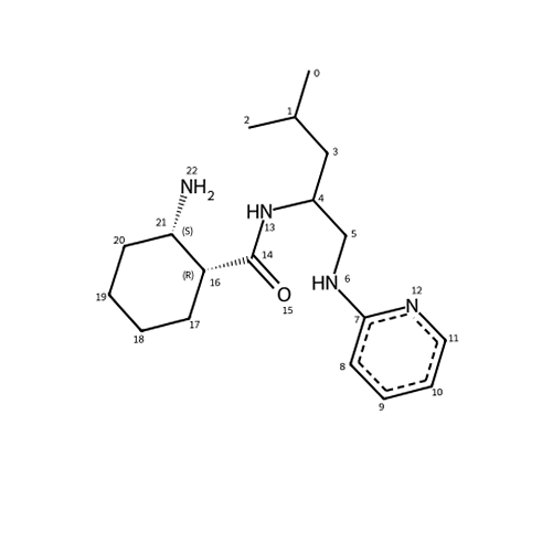 CC(C)CC(CNc1ccccn1)NC(=O)[C@@H]1CCCC[C@@H]1N